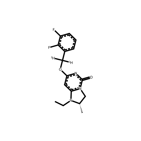 [2H]C([2H])(Oc1cc2n(c(=O)n1)C[C@H](C)N2CC)c1cccc(F)c1F